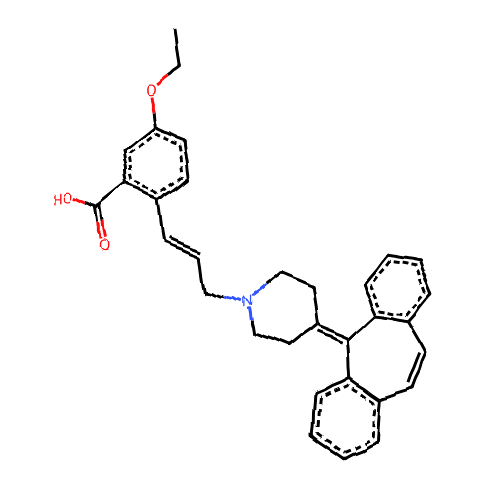 CCOc1ccc(/C=C/CN2CCC(=C3c4ccccc4C=Cc4ccccc43)CC2)c(C(=O)O)c1